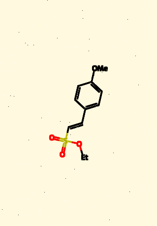 CCOS(=O)(=O)C=Cc1ccc(OC)cc1